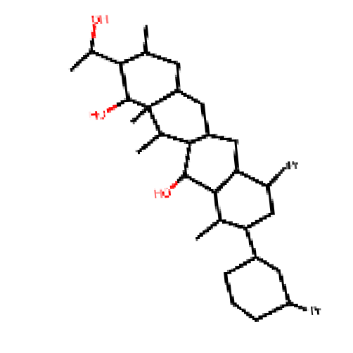 CC(C)C1CCCC(C2CC(C(C)C)C3CC4CC5CC(C)C(C(C)O)C(O)C5(C)C(C)C4C(O)C3C2C)C1